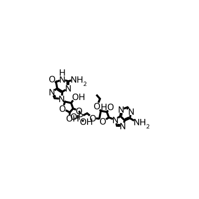 CCOC1C(OCP(=O)(O)OC2C(O)OC(n3cnc4c(=O)[nH]c(N)nc43)C2O)OC(n2cnc3c(N)ncnc32)C1O